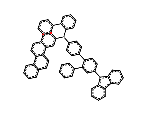 c1ccc(-c2cc(-n3c4ccccc4c4ccccc43)ccc2-c2ccc(N(c3ccc4ccc5c6ccccc6ccc5c4c3)c3ccccc3-c3ccccc3)cc2)cc1